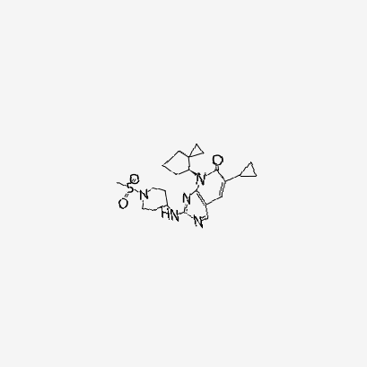 CS(=O)(=O)N1CCC(Nc2ncc3cc(C4CC4)c(=O)n([C@H]4CCCC45CC5)c3n2)CC1